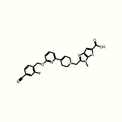 Cn1c(CN2CC=C(c3cccc(OCc4ccc(C#N)cc4F)n3)CC2)nc2cc(C(=O)O)sc21